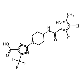 Cc1[nH]c(C(=O)NC2CCN(c3nc(C(F)(F)F)c(C(=O)O)s3)CC2)c(Cl)c1Cl